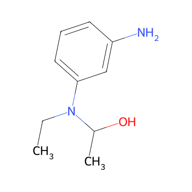 CCN(c1cccc(N)c1)C(C)O